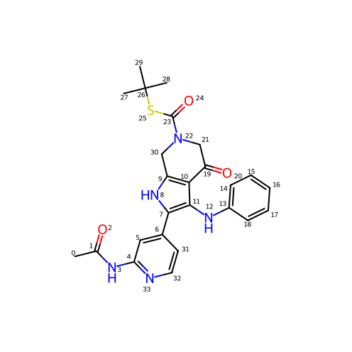 CC(=O)Nc1cc(-c2[nH]c3c(c2Nc2ccccc2)C(=O)CN(C(=O)SC(C)(C)C)C3)ccn1